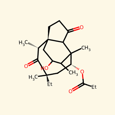 CCC(=O)O[C@@H]1C[C@@](C)(CC)C(=O)[C@H](C)[C@]23CCC(=O)C2C1(C)C(C)C(O)C3